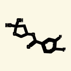 O=C(OC1COS(O)(O)C1)c1ccc(F)c(F)c1